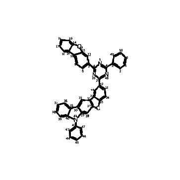 c1ccc(-c2nc(-c3ccc4c(c3)oc3ccccc34)nc(-c3ccc4oc5cc6c(cc5c4c3)c3ccccc3n6-c3ccccc3)n2)cc1